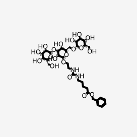 O=C(NCCCCC(=O)OCc1ccccc1)NCCO[C@@H]1O[C@H](CO[C@H]2O[C@H](CO)[C@@H](O)[C@H](O)[C@@H]2O)[C@@H](O)[C@H](O[C@H]2O[C@H](CO)[C@@H](O)[C@H](O)[C@@H]2O)[C@@H]1O